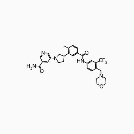 Cc1ccc(C(=O)Nc2ccc(CN3CCOCC3)c(C(F)(F)F)c2)cc1C1CCN(c2cncc(C(N)=O)c2)C1